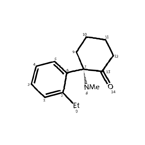 CCc1ccccc1[C@@]1(NC)CCCCC1=O